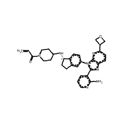 C=CC(=O)N1CCC(N[C@H]2CCc3cc(-n4c(-c5cccnc5N)nc5ccc(C6COC6)nc54)ccc32)CC1